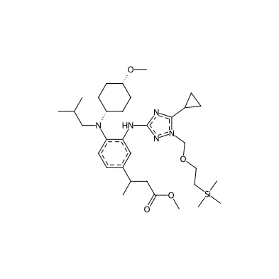 COC(=O)CC(C)c1ccc(N(CC(C)C)[C@H]2CC[C@@H](OC)CC2)c(Nc2nc(C3CC3)n(COCC[Si](C)(C)C)n2)c1